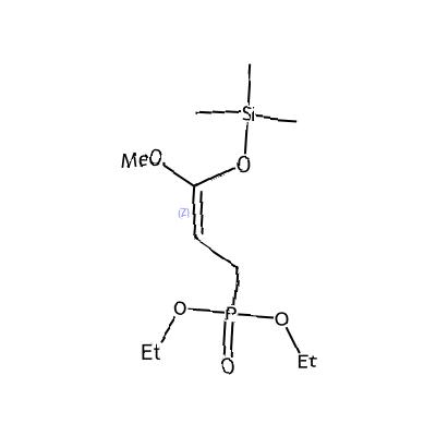 CCOP(=O)(C/C=C(/OC)O[Si](C)(C)C)OCC